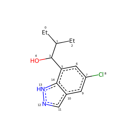 CCC(CC)C(O)c1cc(Cl)cc2cn[nH]c12